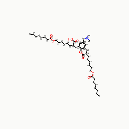 CCCCCCCC(=O)OCCCCCCC(Cc1cc(CC(CCCCCCOC(=O)CCCCCCC)C(=O)O)cc(CN(C)C)c1)C(=O)O